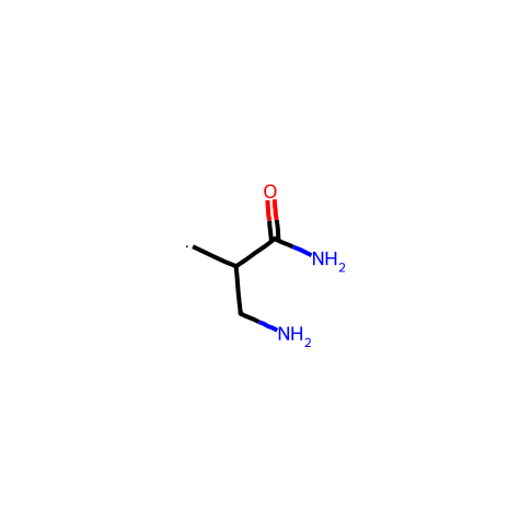 [CH2]C(CN)C(N)=O